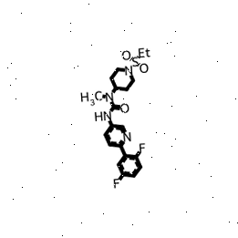 CCS(=O)(=O)N1CCC(N(C)C(=O)Nc2ccc(-c3cc(F)ccc3F)nc2)CC1